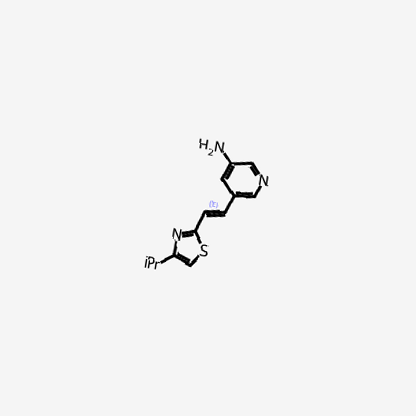 CC(C)c1csc(/C=C/c2cncc(N)c2)n1